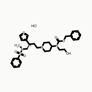 CN(C[C@H](CCN1CCC(N(CCO)C(=O)OCc2ccccc2)CC1)c1ccsc1)S(=O)(=O)c1ccccc1.Cl